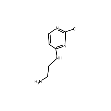 NCCNc1ccnc(Cl)n1